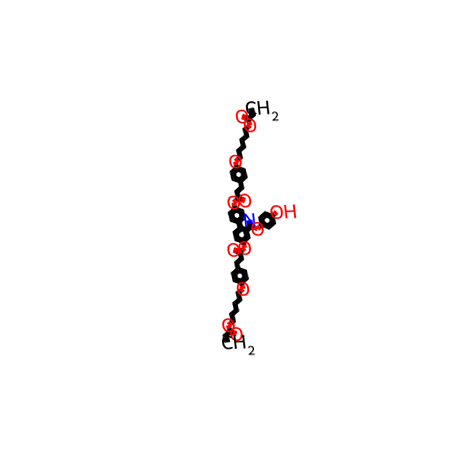 C=CC(=O)OCCCCCCOc1ccc(CCC(=O)Oc2ccc3c(c2)nc(Oc2ccc(O)cc2)c2cc(OC(=O)CCc4ccc(OCCCCCCOC(=O)C=C)cc4)ccc23)cc1